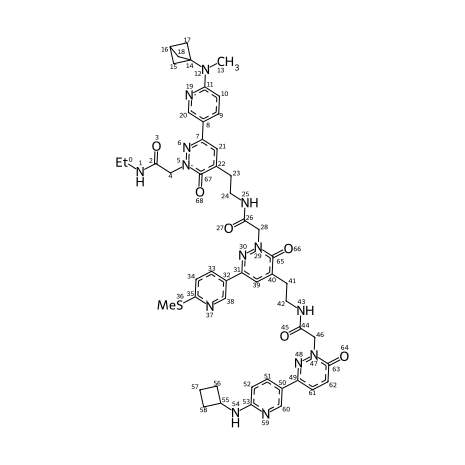 CCNC(=O)Cn1nc(-c2ccc(N(C)C34CC(C3)C4)nc2)cc(CCNC(=O)Cn2nc(-c3ccc(SC)nc3)cc(CCNC(=O)Cn3nc(-c4ccc(NC5CCC5)nc4)ccc3=O)c2=O)c1=O